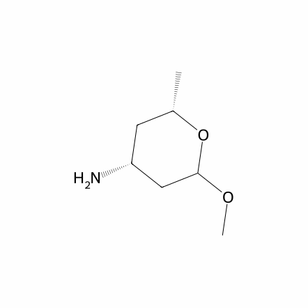 COC1C[C@H](N)C[C@H](C)O1